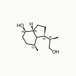 C[C@H]1CC[C@@H](O)[C@@H]2CC[C@@H]([C@@H](C)CO)C21